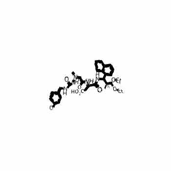 CCOC(OCC)[C@@H](C)C(NC(=O)C(CC(=O)O)NC(=O)CN(C)NC(=O)NCc1ccc(Cl)cc1)c1cccc2ccccc12